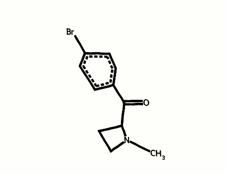 CN1CCC1C(=O)c1ccc(Br)cc1